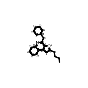 CCCCc1cc2c(o1)c(Cc1ccccc1)nc1ccccc12